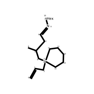 C=CC[Si]1(CC(C)CC=NCCCCCC)CCCCC1